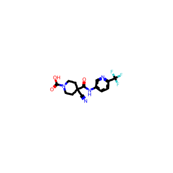 N#CC1(C(=O)Nc2ccc(C(F)(F)F)nc2)CCN(C(=O)O)CC1